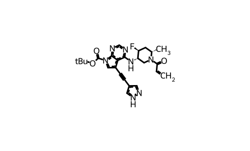 C=CC(=O)N1C[C@H](Nc2ncnc3c2c(C#Cc2cn[nH]c2)cn3C(=O)OC(C)(C)C)[C@@H](F)C[C@@H]1C